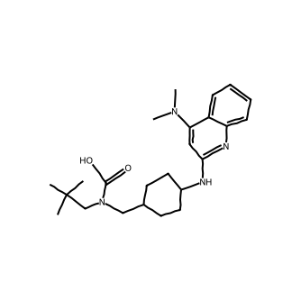 CN(C)c1cc(NC2CCC(CN(CC(C)(C)C)C(=O)O)CC2)nc2ccccc12